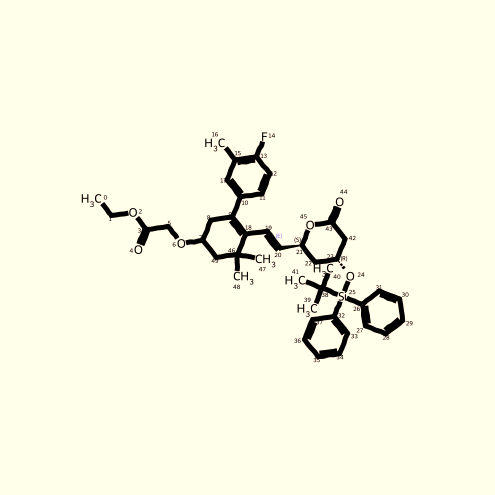 CCOC(=O)COC1CC(c2ccc(F)c(C)c2)=C(/C=C/[C@@H]2C[C@@H](O[Si](c3ccccc3)(c3ccccc3)C(C)(C)C)CC(=O)O2)C(C)(C)C1